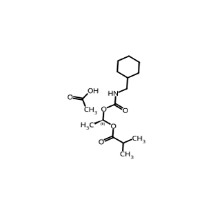 CC(=O)O.CC(C)C(=O)O[C@@H](C)OC(=O)NCC1CCCCC1